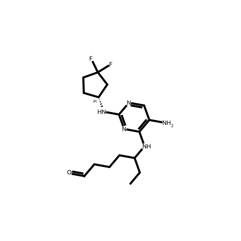 CCC(CCC[C]=O)Nc1nc(N[C@@H]2CCC(F)(F)C2)ncc1N